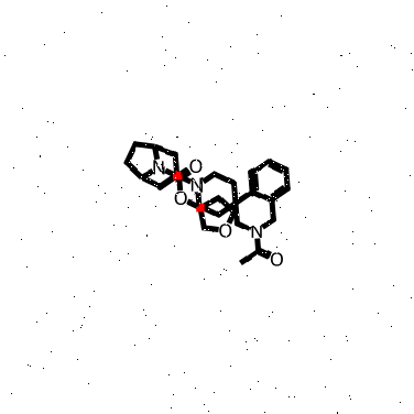 CC(=O)N1Cc2ccccc2C2(CCN(C3CC4CCC(C3)N4C(=O)OC3CCOC3)CC2)C1